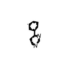 [c]1cccc(-c2ccncn2)c1